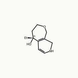 CC[C@@]1(O)CCOCC2=C1C=CNC2